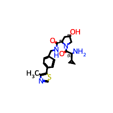 Cc1ncsc1-c1ccc(CNC(=O)[C@H]2C[C@@H](O)CN2C(=O)[C@@H](N)C2CC2)cc1